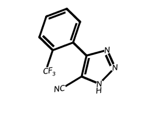 N#Cc1[nH]nnc1-c1ccccc1C(F)(F)F